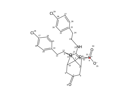 COC1(OC)C2CC(=O)CC1N(CCc1ccc(Cl)cc1)C(NCCc1ccc(Cl)cc1)=C2[N+](=O)[O-]